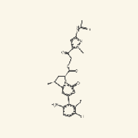 CC(=O)Nc1cc(C(=O)COC(=O)[C@@H]2C[C@H](C)c3cc(-c4c(N)ccc(Cl)c4F)cc(=O)n32)n(C)n1